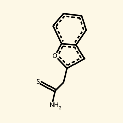 NC(=S)Cc1cc2ccccc2o1